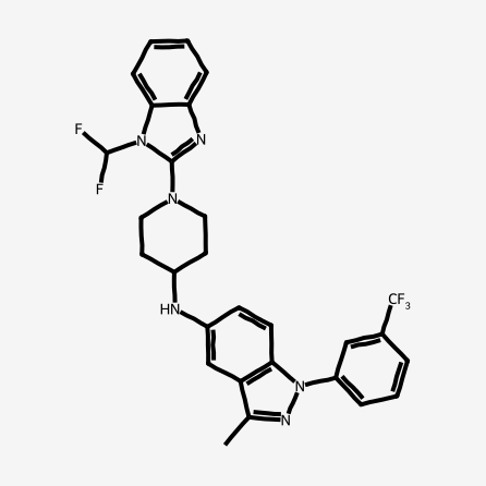 Cc1nn(-c2cccc(C(F)(F)F)c2)c2ccc(NC3CCN(c4nc5ccccc5n4C(F)F)CC3)cc12